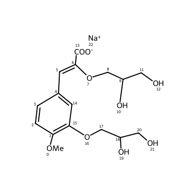 COc1ccc(C=C(OCC(O)CO)C(=O)[O-])cc1OCC(O)CO.[Na+]